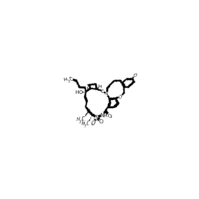 C=CCC[C@]1(O)/C=C/C[C@H](C)[C@@H](C)S(=O)(=O)NC(=O)c2ccc3c(c2)N(CCCCc2cc(Cl)ccc2CO3)C[C@@H]2CC[C@H]21